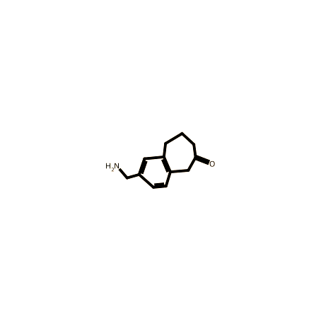 NCc1ccc2c(c1)CCCC(=O)C2